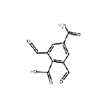 C=C(N)c1cc(C=O)c(C(=O)O)c(C=O)c1